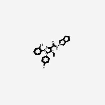 CC[C@@H]1C(C(=O)NN2CC3CCCC3C2)=NN(c2ccccc2Cl)[C@@H]1c1ccc(Cl)cc1